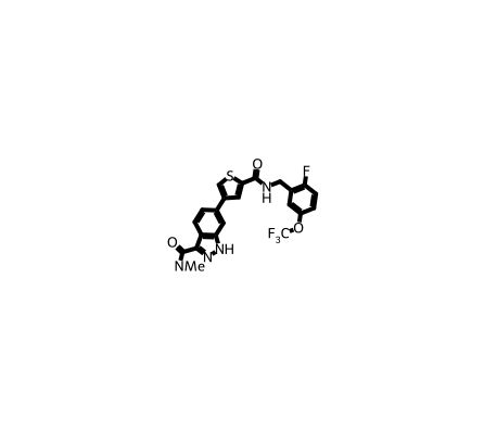 CNC(=O)c1n[nH]c2cc(-c3csc(C(=O)NCc4cc(OC(F)(F)F)ccc4F)c3)ccc12